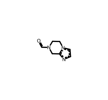 O=CN1CCn2ccnc2C1